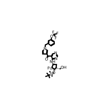 CC(C)(C)[Si](C)(C)O[C@@H]1[C@@H](CO)C[C@@H](Nc2ncncc2C(=O)c2ccn(Cc3cccc(OC(F)(F)F)c3)c2)[C@H]1F